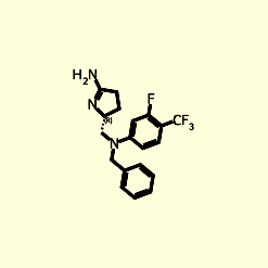 NC1=N[C@@H](CN(Cc2ccccc2)c2ccc(C(F)(F)F)c(F)c2)CC1